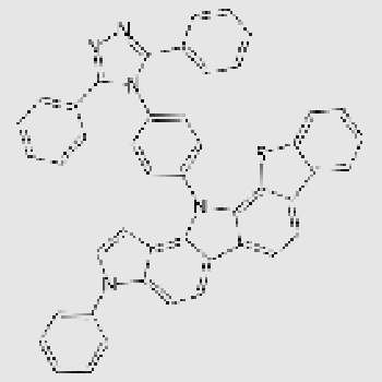 c1ccc(-c2nnc(-c3ccccc3)n2-c2ccc(-n3c4c(ccc5c4ccn5-c4ccccc4)c4ccc5c6ccccc6sc5c43)cc2)cc1